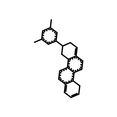 Cc1cc(C)cc(C2CC=c3ccc4c5c(ccc4c3C2)=CC=CC5)c1